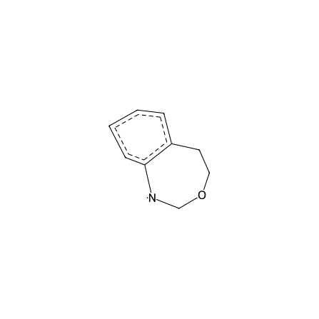 c1ccc2c(c1)CCOC[N]2